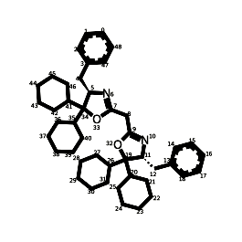 c1ccc(C[C@H]2N=C(CC3=N[C@H](Cc4ccccc4)C(C4CCCCC4)(C4CCCCC4)O3)OC2(C2CCCCC2)C2CCCCC2)cc1